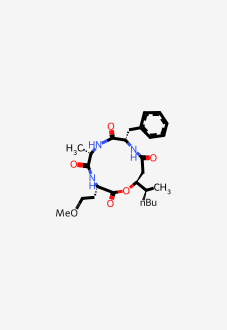 CCCC[C@H](C)[C@@H]1CC(=O)N[C@@H](Cc2ccccc2)C(=O)N[C@@H](C)C(=O)N[C@@H](CCOC)C(=O)O1